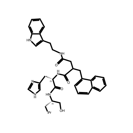 CC(C)C[C@@H](CO)NC(=O)[C@H](Cc1c[nH]cn1)NC(=O)C(CC(=O)NCCc1c[nH]c2ccccc12)Cc1cccc2ccccc12